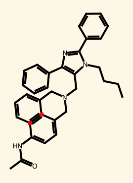 CCCCn1c(-c2ccccc2)nc(-c2ccccc2)c1CN(Cc1ccccc1)Cc1ccc(NC(C)=O)cc1